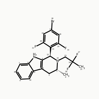 C[C@@H]1Cc2c([nH]c3ccccc23)[C@@H](c2c(F)cc(Br)cc2F)N1CC(C)(F)F